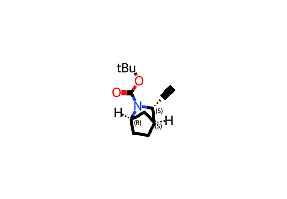 C#C[C@@H]1[C@H]2CC[C@H](C2)N1C(=O)OC(C)(C)C